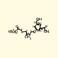 CN(CCCC(=O)OC(C)(C)C)CCOc1cc(CO)nc(CO)c1